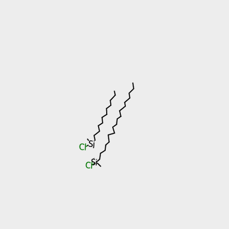 CCCCCCCCCCCCCCCCCC[Si](C)(C)Cl.CCCCCCCCCCCC[Si](C)(C)Cl